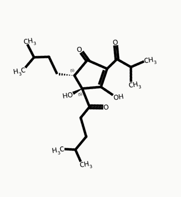 CC(C)CCC(=O)[C@@]1(O)C(O)=C(C(=O)C(C)C)C(=O)[C@H]1CCC(C)C